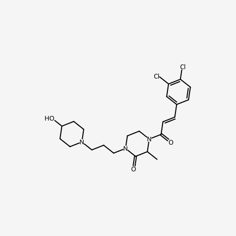 CC1C(=O)N(CCCN2CCC(O)CC2)CCN1C(=O)/C=C/c1ccc(Cl)c(Cl)c1